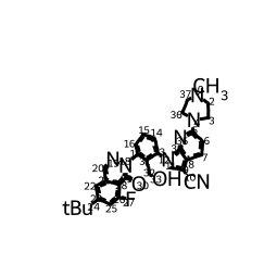 CN1CCN(c2ccc3c(C#N)cn(-c4cccc(-n5ncc6cc(C(C)(C)C)cc(F)c6c5=O)c4CO)c3n2)CC1